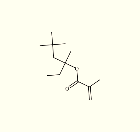 C=C(C)C(=O)OC(C)(CC)CC(C)(C)C